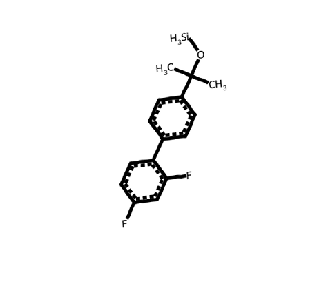 CC(C)(O[SiH3])c1ccc(-c2ccc(F)cc2F)cc1